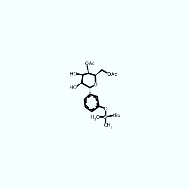 CC(=O)OC[C@H]1O[C@H](c2cccc(O[Si](C)(C)C(C)(C)C)c2)[C@@H](O)[C@@H](O)[C@H]1OC(C)=O